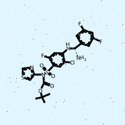 CC(C)(C)OC(=O)N(c1cscn1)S(=O)(=O)c1cc(Cl)c(N[C@@H](N)c2cc(F)cc(F)c2)cc1F